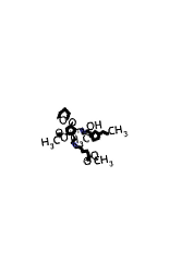 CCCC1CCC(C)([C@H](O)/C=C/[C@@H]2[C@@H](C/C=C\CCCC(=O)OC)[C@@H](OC(C)=O)C[C@H]2OC2CCCCO2)C1